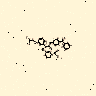 N=C(N)c1cccc(NC(C(=O)Nc2ccc(C(=O)c3ccccc3)cc2)c2cccc(OCC(=O)O)c2)c1